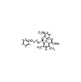 COC(=O)C1=C(C)NC(C)=C(C(=O)OCCOc2ccccc2)C1c1cccc([N+](=O)[O-])c1